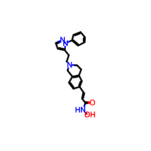 O=C(/C=C/c1ccc2c(c1)CCN(CCc1ccnn1-c1ccccc1)C2)NO